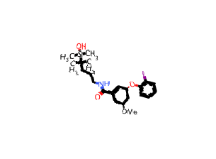 CO[C@H]1CC(C(=O)NCCCC(C)(C)[Si](C)(C)O)=C[C@H](Oc2ccccc2I)C1